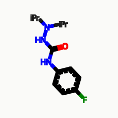 CC(C)N(NC(=O)Nc1ccc(F)cc1)C(C)C